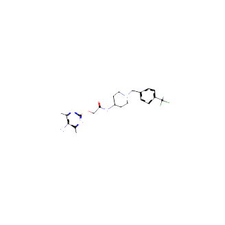 Cc1nc(OCC(=O)NC2CCN(Cc3ccc(C(F)(F)F)cc3)CC2)nc(C)c1N